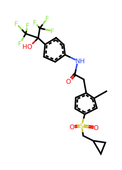 Cc1cc(S(=O)(=O)CC2CC2)ccc1CC(=O)Nc1ccc(C(O)(C(F)(F)F)C(F)(F)F)cc1